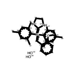 COc1ccccc1[CH]=[Ru](=[C]1NCCN1)([c]1c(C)cc(C)cc1C)[c]1c(C)cc(C)cc1C.Cl.Cl